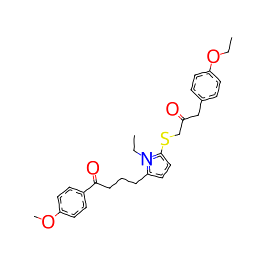 CCOc1ccc(CC(=O)CSc2ccc(CCCC(=O)c3ccc(OC)cc3)n2CC)cc1